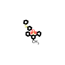 Cc1cc(-c2ccccc2)c(S(=O)(=O)Oc2ccc(Sc3ccccc3)cc2)c(-c2ccccc2)c1